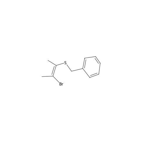 CC(Br)=C(C)SCc1ccccc1